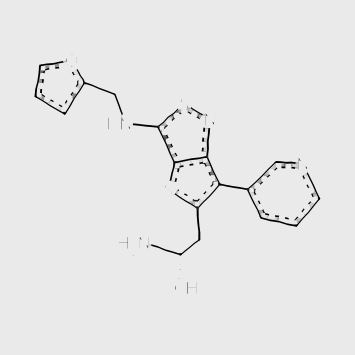 C[C@H](N)Cc1sc2c(NCc3ccco3)snc2c1-c1cccnc1